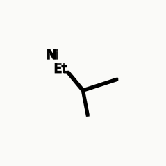 CCC(C)C.[Ni]